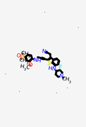 COc1cc(P(C)(C)=O)ccc1NCC#Cc1sc2c(NC3CCN(C)CC3F)cccc2c1CC#N